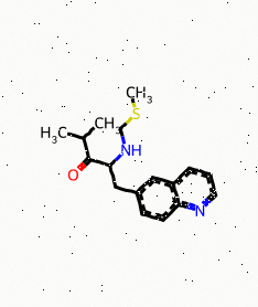 CSCNC(Cc1ccc2ncccc2c1)C(=O)C(C)C